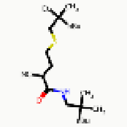 CCCCC(C)(C)CNC(=O)C(C#N)CCSCC(C)(CC)CCCC